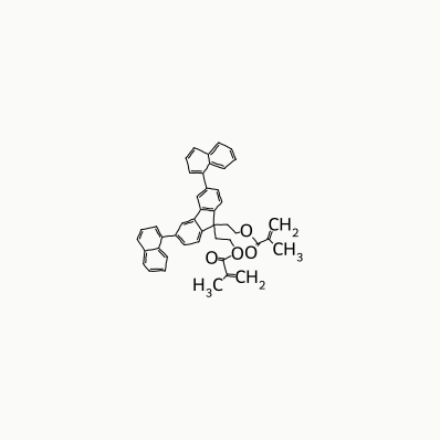 C=C(C)C(=O)OCCC1(CCOC(=O)C(=C)C)c2ccc(-c3cccc4ccccc34)cc2-c2cc(-c3cccc4ccccc34)ccc21